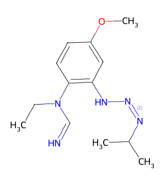 CCN(C=N)c1ccc(OC)cc1N/N=N\C(C)C